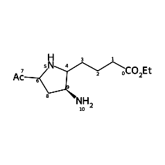 CCOC(=O)CCCC1NC(C(C)=O)C[C@@H]1N